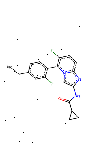 N#CCc1ccc(-c2c(F)ccc3nc(NC(=O)C4CC4)cn23)c(F)c1